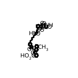 Cc1cccc2c1CCN(C(=O)[C@@H]1CCCC[C@@H]1C(=O)O)[C@@H]2CN1Cc2cc(CCCCCCNC(=O)COc3cccc4c3C(=O)N(C3CCC(=O)NC3=O)C4=O)ccc2C1=O